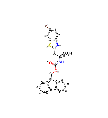 O=C(N[C@@H](Cc1nc2ccc(Br)cc2s1)C(=O)O)OCC1c2ccccc2-c2ccccc21